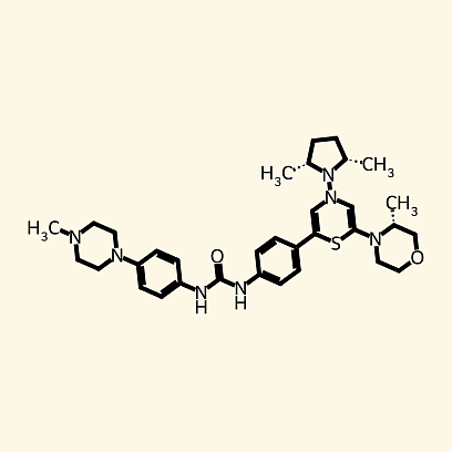 C[C@@H]1COCCN1C1=CN(N2[C@H](C)CC[C@@H]2C)C=C(c2ccc(NC(=O)Nc3ccc(N4CCN(C)CC4)cc3)cc2)S1